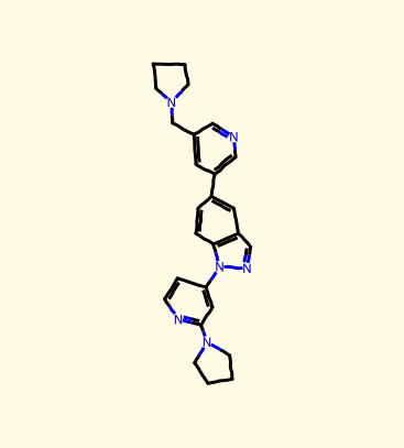 c1cc(-n2ncc3cc(-c4cncc(CN5CCCC5)c4)ccc32)cc(N2CCCC2)n1